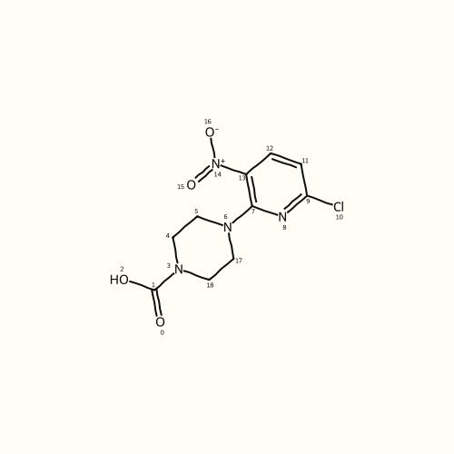 O=C(O)N1CCN(c2nc(Cl)ccc2[N+](=O)[O-])CC1